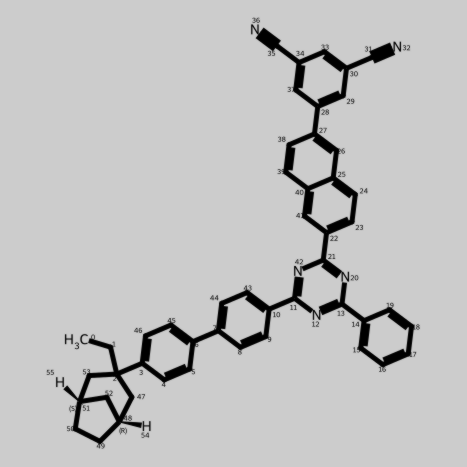 CCC1(c2ccc(-c3ccc(-c4nc(-c5ccccc5)nc(-c5ccc6cc(-c7cc(C#N)cc(C#N)c7)ccc6c5)n4)cc3)cc2)C[C@@H]2CC[C@@H](C2)C1